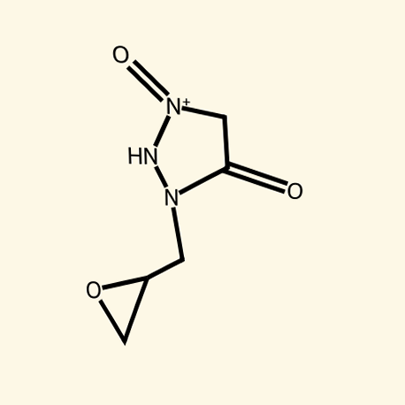 O=C1C[N+](=O)NN1CC1CO1